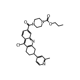 CCCOC(=O)N1CCN(C(=O)c2ccc3c(Cl)c4c(nc3c2)CC(c2ccnc(C)c2)CC4)CC1